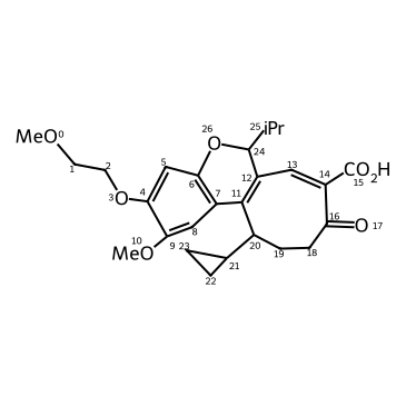 COCCOc1cc2c(cc1OC)C1=C(/C=C(/C(=O)O)C(=O)CCC1C1CC1)C(C(C)C)O2